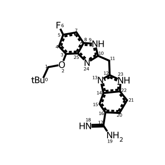 CC(C)(C)COc1cc(F)cc2[nH]c(Cc3nc4cc(C(=N)N)ccc4[nH]3)nc12